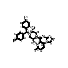 CC[C@H]1CN(C(c2ccc(F)cc2)c2ccc(F)cc2)[C@H](CC)CN1c1nc2nncn2c2ccc(C)nc12